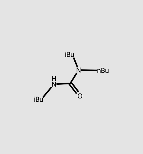 CCCCN(C(=O)NC(C)CC)C(C)CC